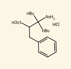 CCCCCCCCC(Cc1ccccc1)C([AsH2])(CCCC)CCCC.Cl